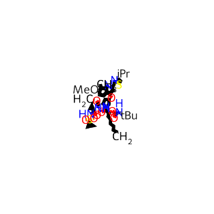 C=CCCCCCC(OC(=O)NC(C)(C)C)C(=O)N1C[C@H](Oc2cc(-c3nc(C(C)C)cs3)nc3c(C)c(OC)ccc23)C[C@H]1C(=O)N[C@]1(C(=O)NS(=O)(=O)C2CC2)C[C@H]1C=C